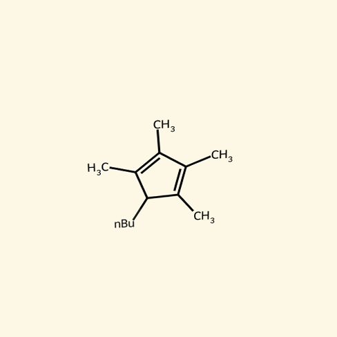 CCCCC1C(C)=C(C)C(C)=C1C